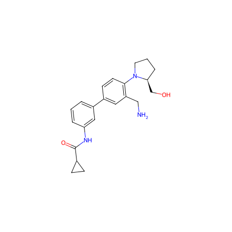 NCc1cc(-c2cccc(NC(=O)C3CC3)c2)ccc1N1CCC[C@H]1CO